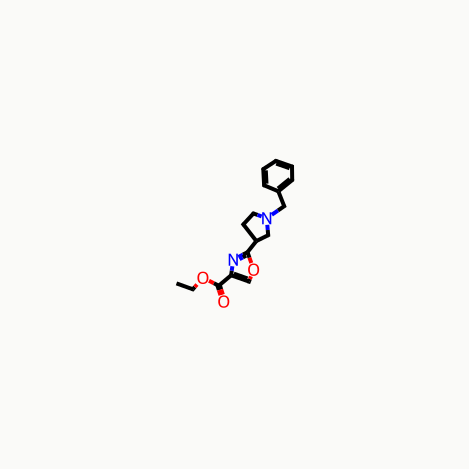 CCOC(=O)c1coc(C2CCN(Cc3ccccc3)C2)n1